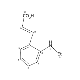 CCNc1ccccc1C=CC(=O)O